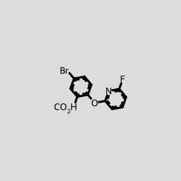 O=C(O)c1cc(Br)ccc1Oc1cccc(F)n1